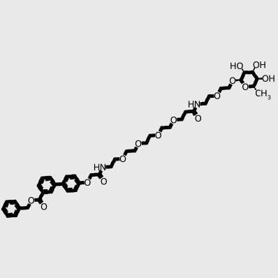 C[C@@H]1O[C@@H](OCCOCCNC(=O)CCOCCOCCOCCOCCNC(=O)COc2ccc(-c3cccc(C(=O)OCc4ccccc4)c3)cc2)[C@H](O)[C@H](O)[C@H]1O